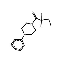 CCC(C)(C)C(=O)N1CCN(c2ccccn2)CC1